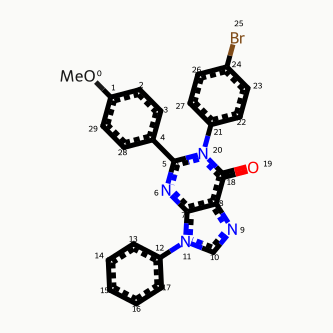 COc1ccc(-c2nc3c(ncn3-c3ccccc3)c(=O)n2-c2ccc(Br)cc2)cc1